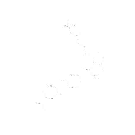 CCN(CC)c1cccc(Oc2ccc(Nc3ncnc4ccn(CCNC(=O)CS(C)(=O)=O)c34)cc2Cl)c1